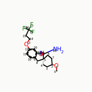 CO[C@H]1CC[C@]2(CC1)Cc1ccc(OCCC(F)(F)F)cc1C21COC(N)=N1